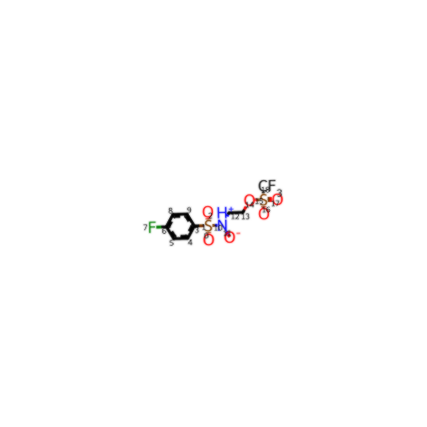 O=S(=O)(c1ccc(F)cc1)[NH+]([O-])CCOS(=O)(=O)C(F)(F)F